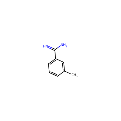 Cc1[c]ccc(C(=N)N)c1